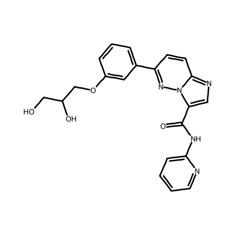 O=C(Nc1ccccn1)c1cnc2ccc(-c3cccc(OCC(O)CO)c3)nn12